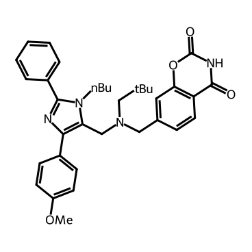 CCCCn1c(-c2ccccc2)nc(-c2ccc(OC)cc2)c1CN(Cc1ccc2c(=O)[nH]c(=O)oc2c1)CC(C)(C)C